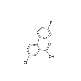 O=C(O)c1cc(Cl)ccc1-c1ccc(F)cc1